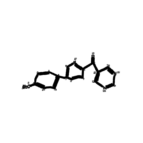 COc1ccc(-c2ccc(C(=O)c3cncnc3)nc2)cc1